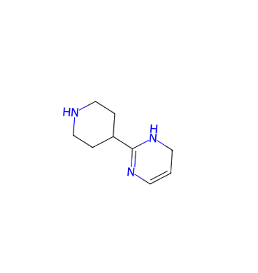 C1=CN=C(C2CCNCC2)NC1